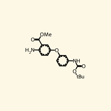 COC(=O)c1cc(Oc2cccc(NC(=O)OC(C)(C)C)c2)ccc1N